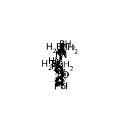 BC(B)(B)c1cnc(CNC(B)(B)C2(F)CCN(C(=O)c3ccc(F)c(Cl)c3)CC2)nc1